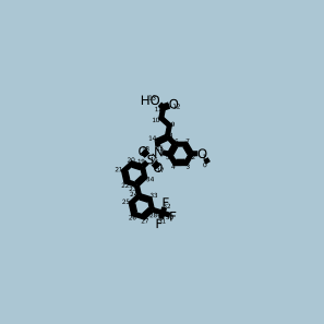 COc1ccc2c(c1)c(CCC(=O)O)cn2S(=O)(=O)c1cccc(-c2cccc(C(F)(F)F)c2)c1